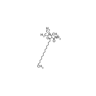 CCCCCCCCCCCCCCCC(=O)C(C(N)=O)C(C)N(CC)CC